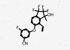 C=Cc1c(Oc2cc(F)cc(C#N)c2)ccc2c1C(C)(O)C(F)(F)C2(F)F